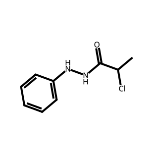 CC(Cl)C(=O)NNc1ccccc1